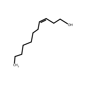 CCCCCCC/C=C\CCO